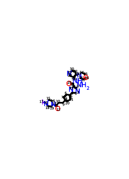 Nc1ncc(-c2ccc(CCC(=O)N3CCN(I)CC3)cc2)nc1C(=O)Nc1cnccc1N1CCOCC1